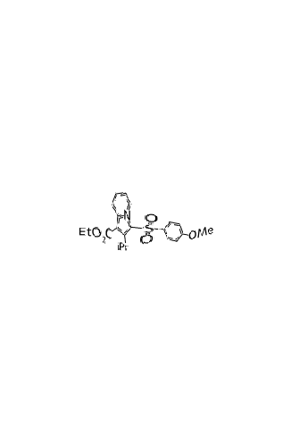 CCOC(=O)c1c(C(C)C)c(S(=O)(=O)c2ccc(OC)cc2)n2ccccc12